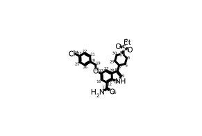 CCS(=O)(=O)N1CCC(c2c[nH]c3c(C(N)=O)cc(OCc4ccc(Cl)cc4)cc23)CC1